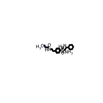 C/C=C/C(=O)NCCc1ccc(S(=O)(=O)C(N)C(N)C2CCCCC2)cc1